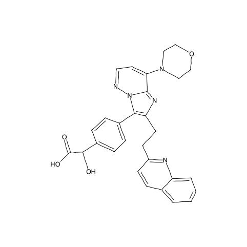 O=C(O)C(O)c1ccc(-c2c(CCc3ccc4ccccc4n3)nc3c(N4CCOCC4)ccnn23)cc1